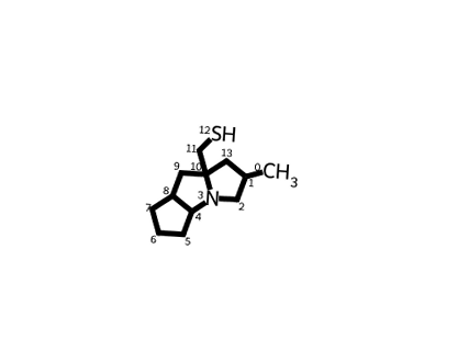 CC1CN2C3CCCC3CC2(CS)C1